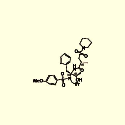 COc1ccc(S(=O)(=O)N(CC(C)C)[C@](Cc2ccccc2)(NC(=O)[C@@H](C)CS(=O)(=O)N2CCCCC2)[C@@H](C)O)cc1